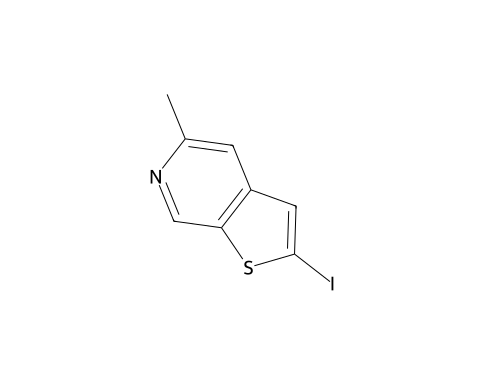 Cc1cc2cc(I)sc2cn1